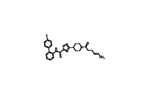 C/C=C/CCC(=O)N1CCC(c2nc(C(=O)Nc3ccccc3-c3ccc(F)cc3)cs2)CC1